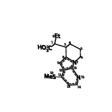 CCC(C(=O)O)C1CCCn2c1cc1c(SC)ccnc12